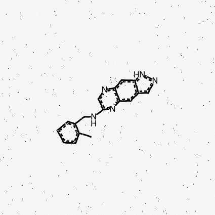 Cc1ccccc1CNc1cnc2cc3[nH]ncc3cc2n1